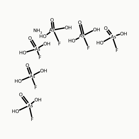 N.O=[As](O)(O)F.O=[As](O)(O)F.O=[As](O)(O)F.O=[As](O)(O)F.O=[As](O)(O)F.O=[As](O)(O)F